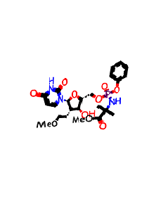 COCC[C@H]1[C@H](O)[C@@H](COP(=O)(NC(C)(C)C(=O)OC)Oc2ccccc2)O[C@H]1n1ccc(=O)[nH]c1=O